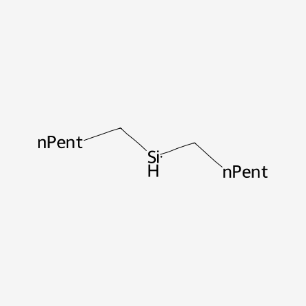 CCCCCC[SiH]CCCCCC